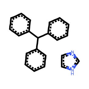 c1c[nH]cn1.c1ccc([C](c2ccccc2)c2ccccc2)cc1